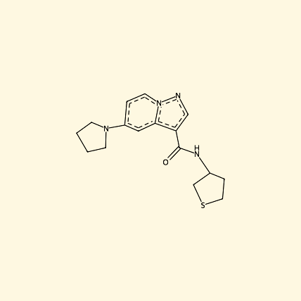 O=C(NC1CCSC1)c1cnn2ccc(N3CCCC3)cc12